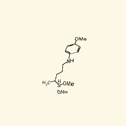 COc1ccc(NCCCC(C)[SiH](OC)OC)cc1